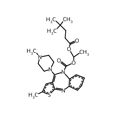 Cc1cc2c(s1)=Nc1ccccc1N(C(=O)OC(C)OC(=O)CCC(C)(C)C)C=2N1CCN(C)CC1